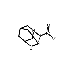 O=[N+]([O-])N1N2CC3CC(C2)NN1C3